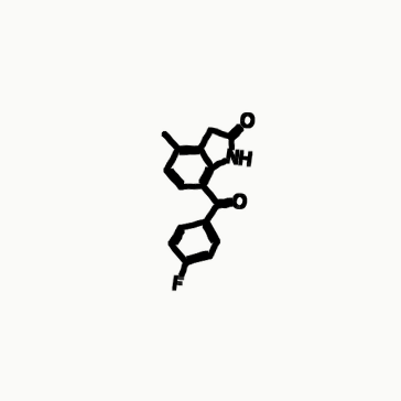 Cc1ccc(C(=O)c2ccc(F)cc2)c2c1CC(=O)N2